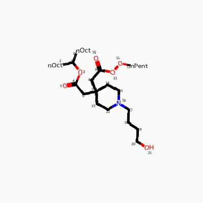 CCCCCCCCC(CCCCCCCC)OC(=O)CC1(CC(=O)OOCCCCC)CCN(CCCCO)CC1